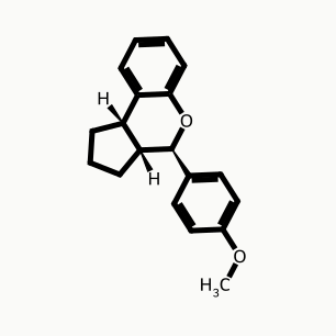 COc1ccc([C@@H]2Oc3ccccc3[C@H]3CCC[C@H]32)cc1